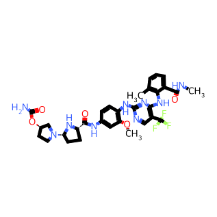 CNC(=O)c1cccc(C)c1Nc1nc(Nc2ccc(NC(=O)[C@@H]3CC[C@H](N4CC[C@H](OC(N)=O)C4)N3)cc2OC)ncc1C(F)(F)F